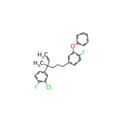 C=CC(C)(CCCc1ccc(F)c(Oc2ccccc2)c1)c1ccc(F)c(Cl)c1